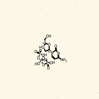 Nc1ccn([C@H]2CO[C@@H](CO)O2)c(=O)n1.O=P(O)(O)OP(=O)(O)OP(=O)(O)O